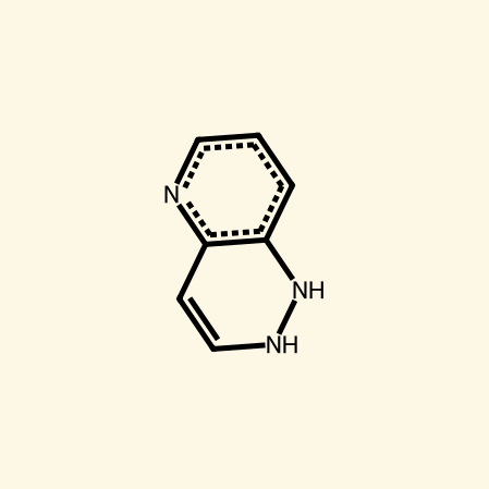 C1=Cc2ncccc2NN1